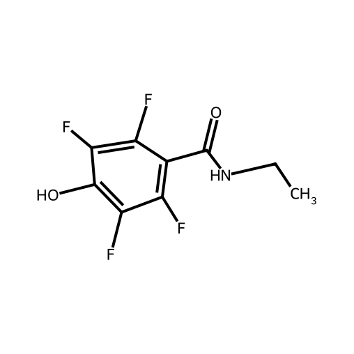 CCNC(=O)c1c(F)c(F)c(O)c(F)c1F